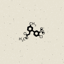 COC(=O)Cc1ccc(C)cc1-c1ccc(Cl)c([N+](=O)[O-])c1